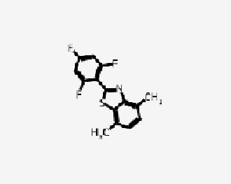 Cc1ccc(C)c2sc(-c3c(F)cc(F)cc3F)nc12